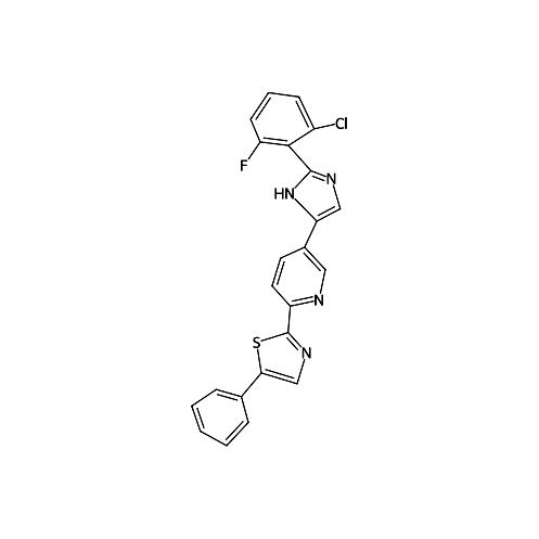 Fc1cccc(Cl)c1-c1ncc(-c2ccc(-c3ncc(-c4ccccc4)s3)nc2)[nH]1